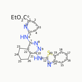 CCOC(=O)c1cccc(Nc2nnc(Nc3nc4ccccc4s3)c3c2CCCC3)n1